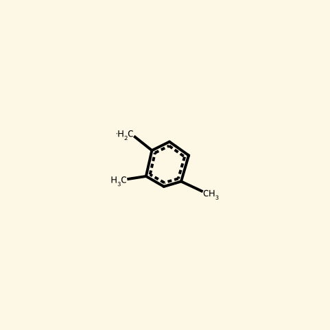 [CH2]c1ccc(C)cc1C